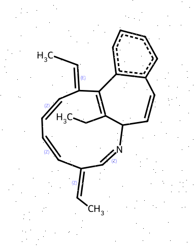 C/C=C1/C=C\C=C/C(=C\C)C2=C(CC)C(C=Cc3ccccc32)\N=C/1